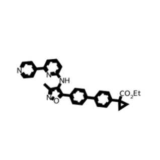 CCOC(=O)C1(c2ccc(-c3ccc(-c4onc(C)c4Nc4cccc(-c5ccncc5)n4)cc3)cc2)CC1